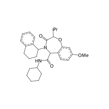 COc1ccc2c(c1)OC(C(C)C)C(=O)N(C1CCCc3ccccc31)C2C(=O)NC1CCCCC1